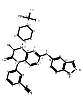 C[C@@H]1C(=O)N(c2cccc(C#N)c2)c2cnc(Nc3ccc4[nH]ncc4c3)nc2N1[C@H]1CC[C@@H](C(F)(F)F)CC1